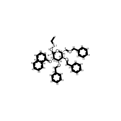 CCSO[C@@]1(C)O[C@H](COCc2ccccc2)[C@@H](OCc2ccccc2)[C@H](OCc2ccccc2)[C@@H]1Oc1cccc2ccccc12